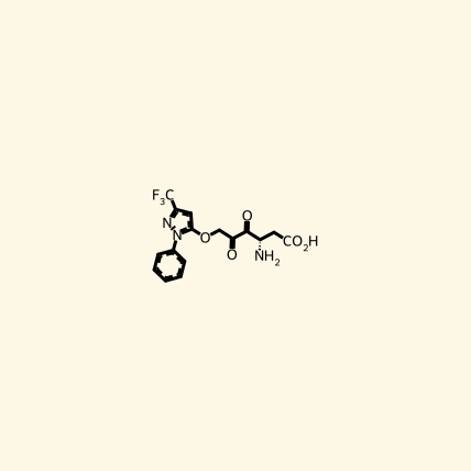 N[C@@H](CC(=O)O)C(=O)C(=O)COc1cc(C(F)(F)F)nn1-c1ccccc1